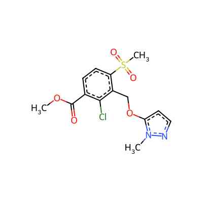 COC(=O)c1ccc(S(C)(=O)=O)c(COc2ccnn2C)c1Cl